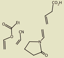 C=CC#N.C=CCC(=O)O.C=CN1CCCC1=O.C=COC(=O)CC